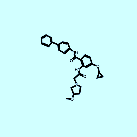 COC1CCN(CC(=O)Nc2cc(OC3CC3)ccc2C(=O)Nc2ccc(-c3ccccc3)cc2)C1